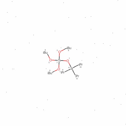 CCC(C)[O][Ti]([O]C(C)CC)([O]C(C)CC)[O][Si](C(C)C)(C(C)C)C(C)C